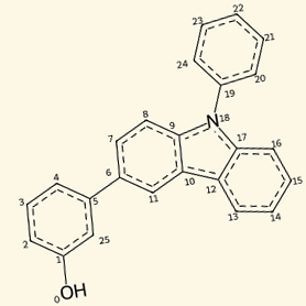 Oc1cccc(-c2ccc3c(c2)c2ccccc2n3-c2ccccc2)c1